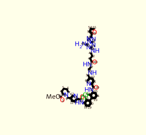 COC(=O)[C@@H]1CCCCN1Cc1ccc(C(=O)Nc2cccc(-c3cccc(NC(=O)c4ccc(CNCCNC(=O)CCCNc5nc(N)n6nc(-c7ccco7)nc6n5)cn4)c3Cl)c2Cl)nc1